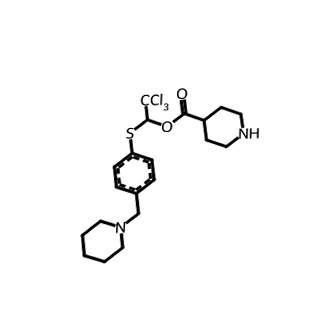 O=C(OC(Sc1ccc(CN2CCCCC2)cc1)C(Cl)(Cl)Cl)C1CCNCC1